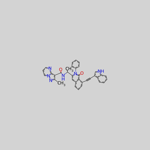 Cc1nn2cccnc2c1C(=O)N[C@@H](C)c1cc2cccc(C#Cc3c[nH]c4ccccc34)c2c(=O)n1-c1ccccc1